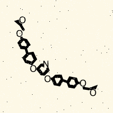 c1cc(-c2ccc(Oc3cncc(Oc4ccc(-c5ccc(OCC6CO6)cc5)cc4)c3)cc2)ccc1OCC1CO1